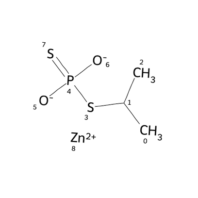 CC(C)SP([O-])([O-])=S.[Zn+2]